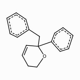 C1=CC(Cc2ccccc2)(c2ccccc2)OCC1